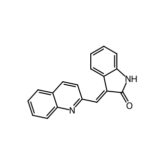 O=C1Nc2ccccc2/C1=C\c1ccc2ccccc2n1